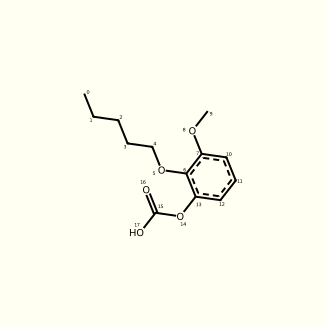 CCCCCOc1c(OC)cccc1OC(=O)O